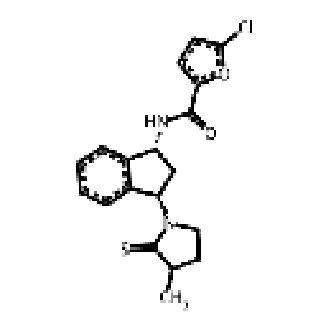 CC1CCN([C@@H]2C[C@@H](NC(=O)c3ccc(Cl)o3)c3ccccc32)C1=S